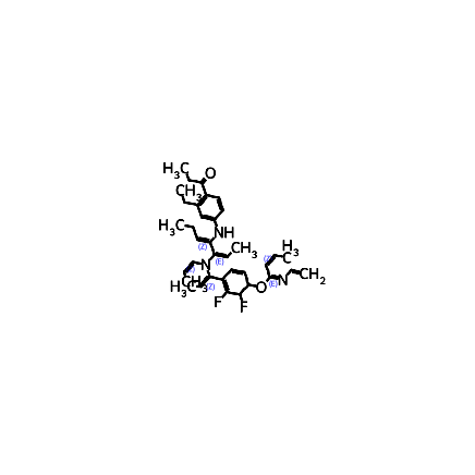 C=C/N=C(\C=C/C)OC1C=CC(/C(=C/C)N(/C=C\C)C(=C/C)/C(=C/CC)Nc2ccc(C(=O)CC)c(CC)c2)=C(F)C1F